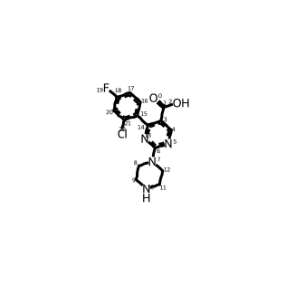 O=C(O)c1cnc(N2CCNCC2)nc1-c1ccc(F)cc1Cl